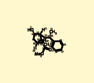 COC(=O)[C@@H]1[C@@H]2C[C@H](O)[C@@H]([C@H]2C)N1[C@H](C)c1ccccc1